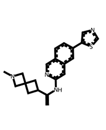 C=C(Nc1cc2cc(-c3cncs3)ccc2cn1)C1CC2(C1)CN(C)C2